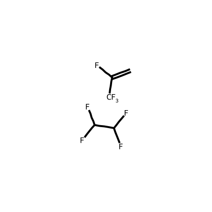 C=C(F)C(F)(F)F.FC(F)C(F)F